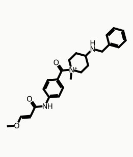 COC=CC(=O)Nc1ccc(C(=O)[N+]2(C)CCC(NCc3ccccc3)CC2)cc1